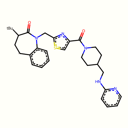 CC(C)(C)C1C[C]c2ccccc2N(Cc2nc(C(=O)N3CCC(CNc4ccccn4)CC3)cs2)C1=O